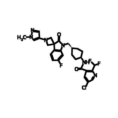 Cn1cc(N2CC3(C2)C(=O)N(C[C@H]2CC[C@H](NC(=O)c4cc(Cl)cnc4C(F)F)CC2)c2cc(F)ccc23)cn1